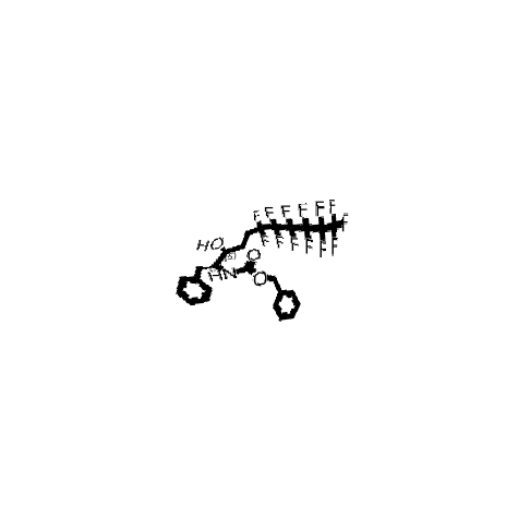 O=C(N[C@@H](Cc1ccccc1)[C@@H](O)CCC(F)(F)C(F)(F)C(F)(F)C(F)(F)C(F)(F)C(F)(F)F)OCc1ccccc1